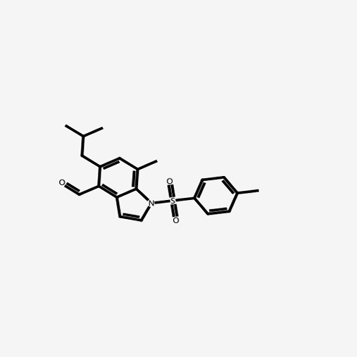 Cc1ccc(S(=O)(=O)n2ccc3c(C=O)c(CC(C)C)cc(C)c32)cc1